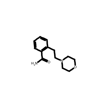 NC(=O)c1[c]cccc1CCN1CCOCC1